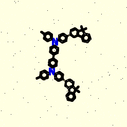 Cc1ccc(N(c2ccc(-c3ccc(N(c4ccc(C)cc4)c4ccc([C@@H]5C=CC6=C(C5)c5ccccc5C6(C)C)cc4)cc3)cc2)c2ccc([C@@H]3C=CC4=C(C3)c3ccccc3C4(C)C)cc2)cc1